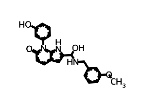 COc1cccc(CNC(O)c2cc3ccc(=O)n(-c4cccc(O)c4)c3[nH]2)c1